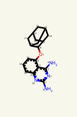 Nc1nc(N)c2c(OC3C4CC5CC(C4)CC3C5)cccc2n1